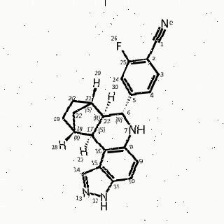 N#Cc1ccc([C@@H]2Nc3ccc4[nH]ncc4c3[C@H]3[C@@H]4CC[C@@H](C4)[C@H]32)cc1F